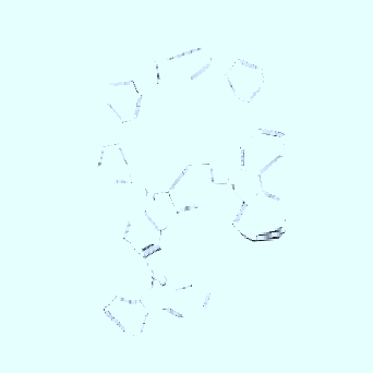 c1ccc(-c2ccc3sc4ccc(-c5cccc(-n6c7ccc(-n8c9ccccc9c9ccccc98)cc7c7cc(-n8c9ccccc9c9ccccc98)ccc76)c5)cc4c3c2)cc1